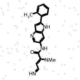 CN/C(=C\C=N)C(=O)Nc1cnc2cc(-c3ccccc3C)[nH]c2c1